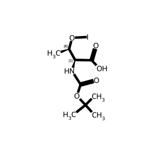 C[C@@H](OI)[C@H](NC(=O)OC(C)(C)C)C(=O)O